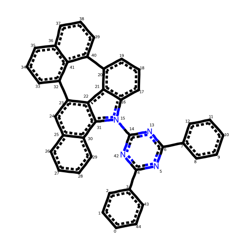 c1ccc(-c2nc(-c3ccccc3)nc(-n3c4cccc5c4c4c(cc6ccccc6c43)-c3cccc4cccc-5c34)n2)cc1